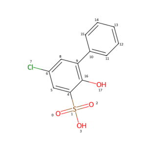 O=S(=O)(O)c1cc(Cl)cc(-c2ccccc2)c1O